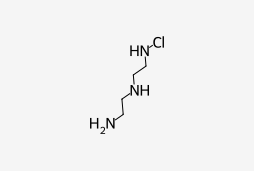 NCCNCCNCl